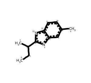 CCC(C)c1nc2cc(C)ccc2s1